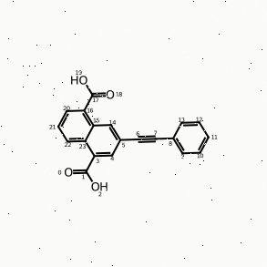 O=C(O)c1cc(C#Cc2ccccc2)cc2c(C(=O)O)cccc12